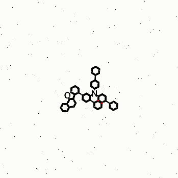 c1ccc(-c2ccc(N(c3ccc(-c4ccccc4)cc3)c3cc(-c4cccc5oc6c7ccccc7ccc6c45)ccc3-c3ccccc3)cc2)cc1